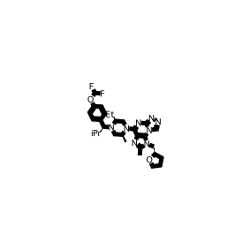 CC[C@@H]1CN(c2nc3nncn3c3c2nc(C)n3C[C@@H]2CCCO2)[C@@H](C)CN1[C@@H](c1ccc(OC(F)F)cc1)C(C)C